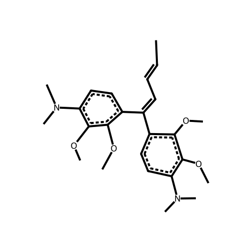 CC=CC=C(c1ccc(N(C)C)c(OC)c1OC)c1ccc(N(C)C)c(OC)c1OC